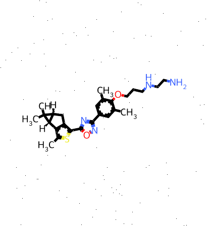 Cc1cc(-c2noc(-c3sc(C)c4c3C[C@@H]3[C@H]4C3(C)C)n2)cc(C)c1OCCCNCCN